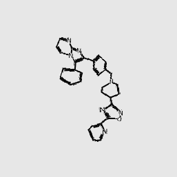 c1ccc(-c2c(-c3ccc(CN4CCC(c5noc(-c6ccccn6)n5)CC4)cc3)nc3ncccn23)cc1